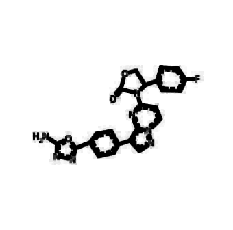 Nc1nnc(-c2ccc(-c3cnn4ccc(N5C(=O)OCC5c5ccc(F)cc5)nc34)cc2)o1